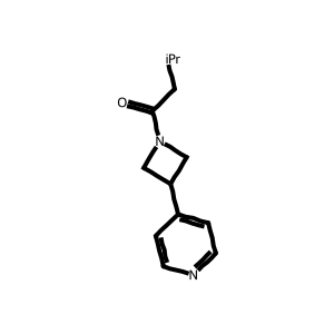 CC(C)CC(=O)N1CC(c2ccncc2)C1